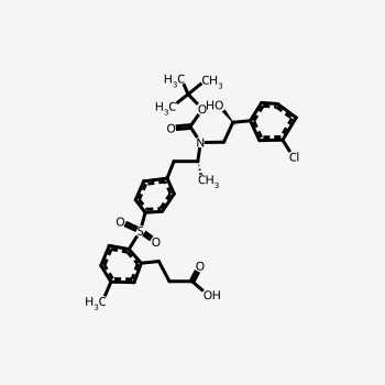 Cc1ccc(S(=O)(=O)c2ccc(C[C@@H](C)N(C[C@@H](O)c3cccc(Cl)c3)C(=O)OC(C)(C)C)cc2)c(CCC(=O)O)c1